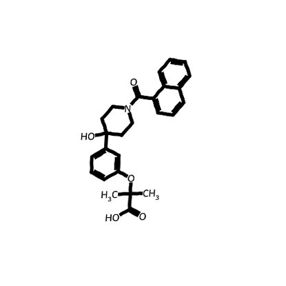 CC(C)(Oc1cccc(C2(O)CCN(C(=O)c3cccc4ccccc34)CC2)c1)C(=O)O